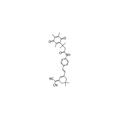 CC1=C(C)C(=O)C(C(C)(C)CC(=O)Nc2ccc(/C=C/C3=CC(=C(C#N)C#N)CC(C)(C)C3)cc2)=C(C)C1=O